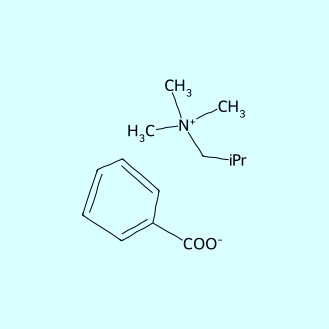 CC(C)C[N+](C)(C)C.O=C([O-])c1ccccc1